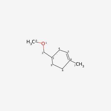 COCC1CC=C(C)CC1